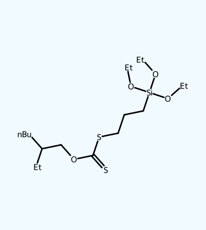 CCCCC(CC)COC(=S)SCCC[Si](OCC)(OCC)OCC